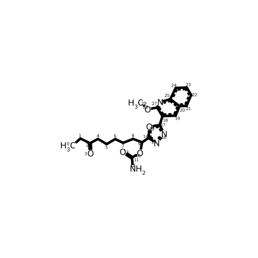 CCC(=O)CCCCCC(OC(N)=O)c1nnc(-c2cc3ccccc3nc2OC)o1